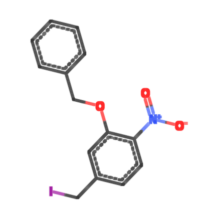 O=[N+]([O-])c1ccc(CI)cc1OCc1ccccc1